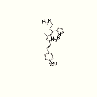 Bn1cccc1/C(CCN)=C1N=C(/C=C/c2ccc(C(C)(C)C)cc2)C=C\1C